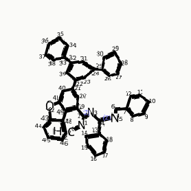 C=N/C(=N\C(=N/Cc1ccccc1)c1ccccc1)c1cc(-c2cc(-c3ccccc3)cc(-c3ccccc3)c2)cc2oc3ccccc3c12